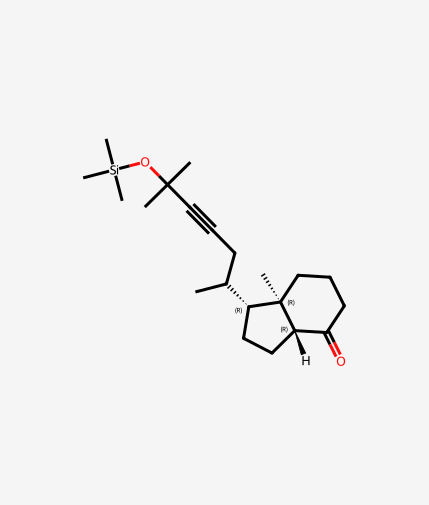 CC(CC#CC(C)(C)O[Si](C)(C)C)[C@H]1CC[C@H]2C(=O)CCC[C@]12C